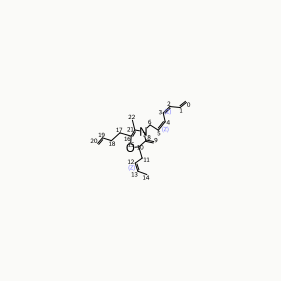 C=C/C=C\C=C/CN1C(=C)C(C/C=C\C)OC(CCC=C)=C1C